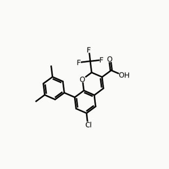 Cc1cc(C)cc(-c2cc(Cl)cc3c2OC(C(F)(F)F)C(C(=O)O)=C3)c1